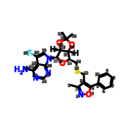 Cc1noc(-c2ccccc2)c1CSC[C@H]1O[C@@H](n2cc(F)c3c(N)ncnc32)[C@@H]2OC(C)(C)O[C@@H]21